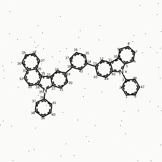 c1ccc(-n2c3ccccc3c3cc(-c4cccc(-c5ccc6c(c5)c5c7ccccc7ccc5n6-c5ccccc5)c4)ccc32)cc1